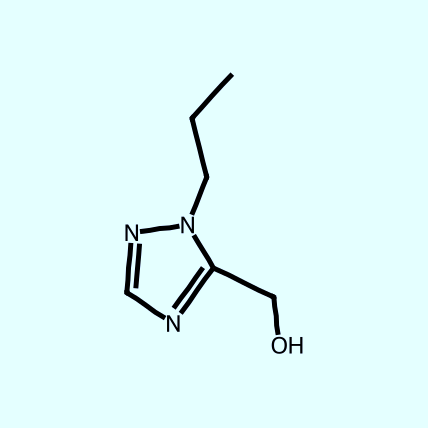 CCCn1ncnc1CO